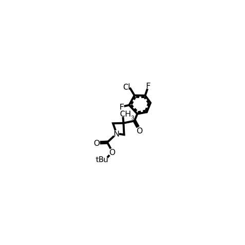 CC(C)(C)OC(=O)N1CC(C)(C(=O)c2ccc(F)c(Cl)c2F)C1